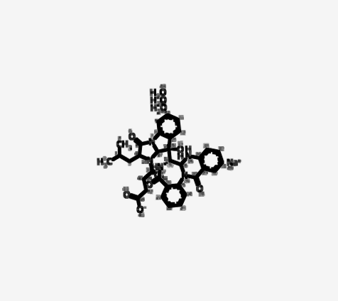 CC(C)CC1C(=O)N2c3ccccc3[C@](O)([C@H]3NC(=O)c4ccccc4N4C(=O)c5ccccc5NC34)C2N1C(=O)CCC(=O)[O-].O.O.O.[Na+]